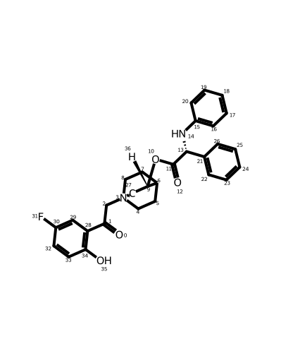 O=C(C[N+]12CCC(CC1)[C@@H](OC(=O)[C@H](Nc1ccccc1)c1ccccc1)C2)c1cc(F)ccc1O